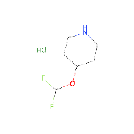 Cl.FC(F)OC1CCNCC1